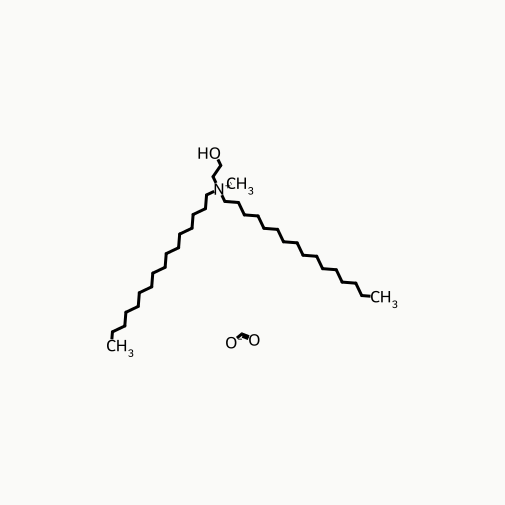 CCCCCCCCCCCCCCCC[N+](C)(CCO)CCCCCCCCCCCCCCCC.O=C[O-]